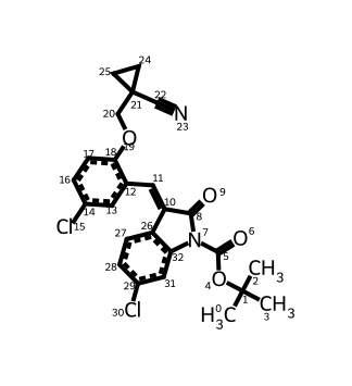 CC(C)(C)OC(=O)N1C(=O)/C(=C/c2cc(Cl)ccc2OCC2(C#N)CC2)c2ccc(Cl)cc21